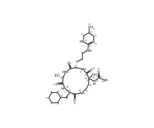 CC[C@@H]1NC(=O)[C@H](CCCNC2=NCC(C)CN2)NC(=O)[C@](C)(NC(=O)C(C)C)CCNC(=O)[C@@H](CC2CCCCC2)NC1=O